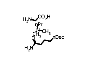 CCCCCCCCCCCCCC(N)=O.CCCN(C)C.NCC(=O)O